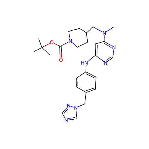 CN(CC1CCN(C(=O)OC(C)(C)C)CC1)c1cc(Nc2ccc(Cn3cncn3)cc2)ncn1